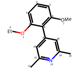 CCOc1cccc(OC)c1-c1cc(C)nc(C)c1